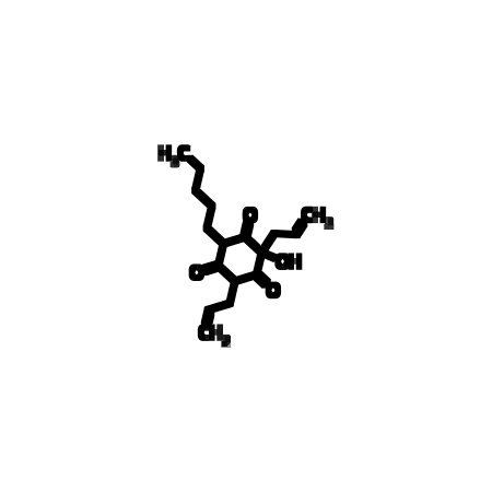 C=CCC1C(=O)C(CCCCC)C(=O)C(O)(CC=C)C1=O